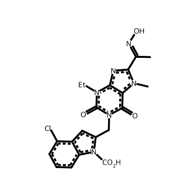 CCn1c(=O)n(Cc2cc3c(Cl)cccc3n2C(=O)O)c(=O)c2c1nc(C(C)=NO)n2C